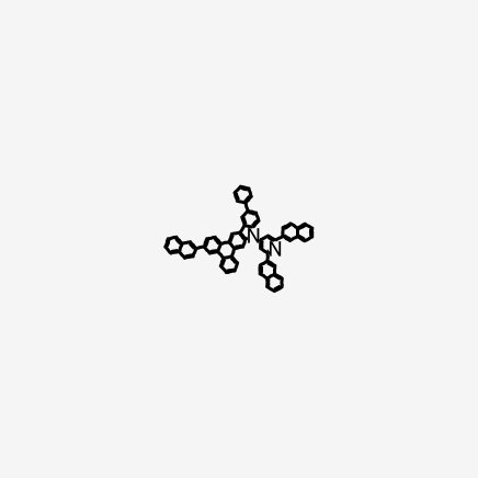 c1ccc(-c2ccc3c(c2)c2cc4c5ccc(-c6ccc7ccccc7c6)cc5c5ccccc5c4cc2n3-c2cc(-c3ccc4ccccc4c3)nc(-c3ccc4ccccc4c3)c2)cc1